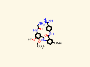 COc1ccc(NCc2cc(NC(=O)CN)cc(OC(C)C)c2OCC(=O)O)c(C(=O)Nc2ccc(C(=N)N)cc2)c1